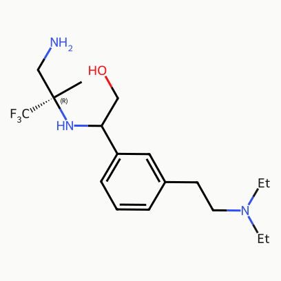 CCN(CC)CCc1cccc(C(CO)N[C@](C)(CN)C(F)(F)F)c1